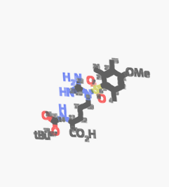 COc1cc(C)c(S(=O)(=O)N(CCCC(NC(=O)OC(C)(C)C)C(=O)O)C(=N)N)c(C)c1C